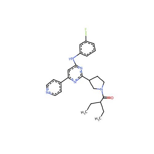 CCC(CC)C(=O)N1CCC(c2nc(Nc3cccc(F)c3)cc(-c3ccncc3)n2)C1